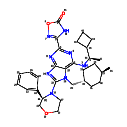 C[C@@H](Nc1nc(-c2noc(=O)[nH]2)nc2nc(N3CCOC[C@H]3c3ccccc3)n(C[C@H]3CC[C@H](C)CC3)c12)C1CCC1